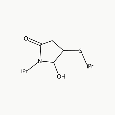 CC(C)SC1CC(=O)N(C(C)C)C1O